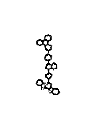 c1ccc2c(c1)nc1c3sc4ccccc4c3cc(-c3ccc(-c4ccc(-c5ccc(-c6ccc7c8ccccc8c8ccccc8c7c6)cc5)c5ccccc45)cc3)n21